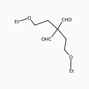 CCOCCC([C]=O)(C=O)CCOCC